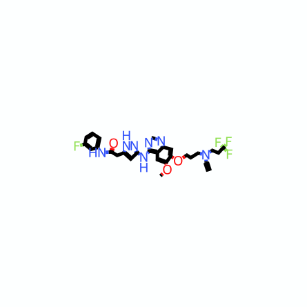 C#CN(CCCOc1cc2ncnc(Nc3cc(CC(=O)Nc4cccc(F)c4)[nH]n3)c2cc1OC)CCC(F)(F)F